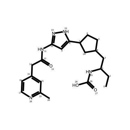 CCC(CC1CCC(c2cc(NC(=O)Cc3ccnc(C)c3)n[nH]2)C1)NC(=O)O